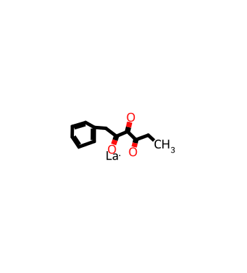 CCC(=O)C(=O)C(=O)Cc1ccccc1.[La]